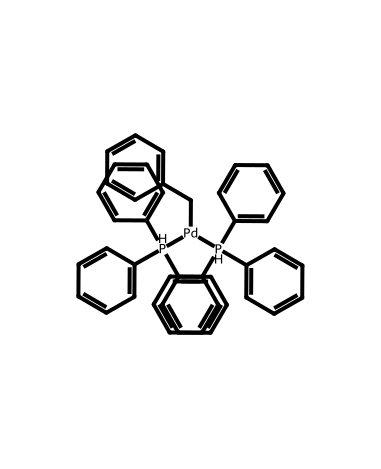 c1ccc([CH2][Pd]([PH](c2ccccc2)(c2ccccc2)c2ccccc2)[PH](c2ccccc2)(c2ccccc2)c2ccccc2)cc1